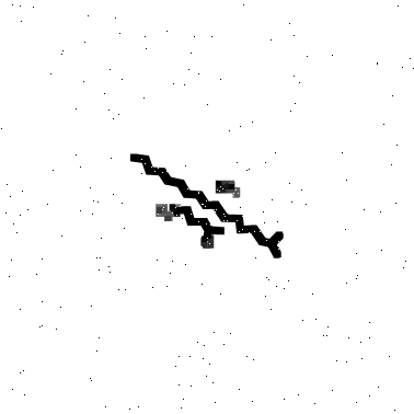 CC(Cl)CCCN.CCCCCCCCCCCCCCCC(C)C.N